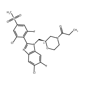 CCC(=O)N1CCO[C@@H](Cn2c(-c3c(F)cc(S(C)(=O)=O)cc3Cl)nc3cc(Cl)c(F)cc32)C1